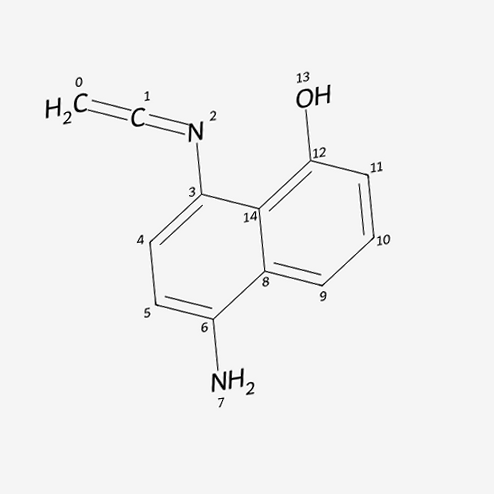 C=C=Nc1ccc(N)c2cccc(O)c12